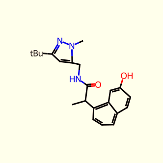 CC(C(=O)NCc1cc(C(C)(C)C)nn1C)c1cccc2ccc(O)cc12